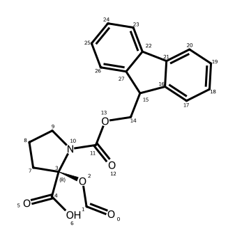 O=CO[C@@]1(C(=O)O)CCCN1C(=O)OCC1c2ccccc2-c2ccccc21